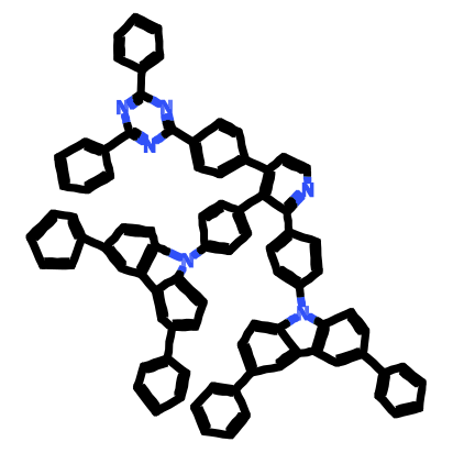 c1ccc(-c2ccc3c(c2)c2cc(-c4ccccc4)ccc2n3-c2ccc(-c3nccc(-c4ccc(-c5nc(-c6ccccc6)nc(-c6ccccc6)n5)cc4)c3-c3ccc(-n4c5ccc(-c6ccccc6)cc5c5cc(-c6ccccc6)ccc54)cc3)cc2)cc1